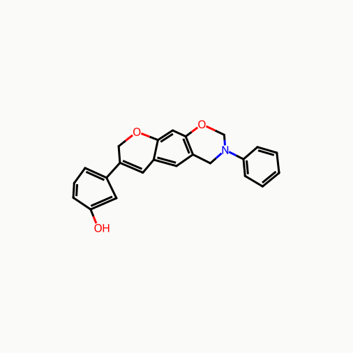 Oc1cccc(C2=Cc3cc4c(cc3OC2)OCN(c2ccccc2)C4)c1